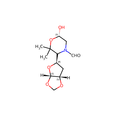 CC1(C)O[C@H](O)CN(C=O)C1[C@H]1C[C@@H]2OCO[C@@H]2O1